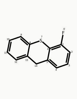 Fc1cccc2c1Sc1ccccc1C2